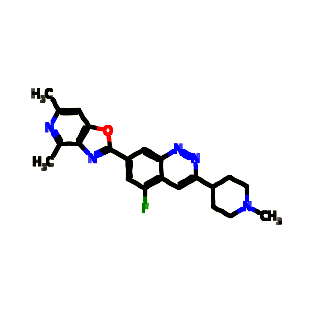 Cc1cc2oc(-c3cc(F)c4cc(C5CCN(C)CC5)nnc4c3)nc2c(C)n1